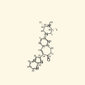 C[C@@H]1CN(c2ccc3c(n2)CCC(=O)C(c2cn4cccnc4n2)=C3)C[C@H](C)N1C